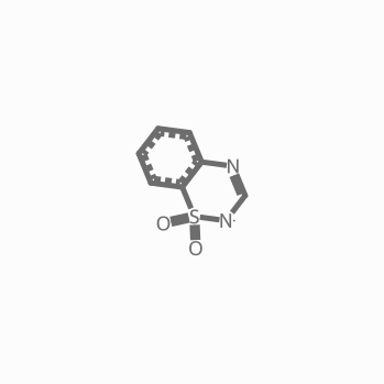 O=S1(=O)[N]C=Nc2ccccc21